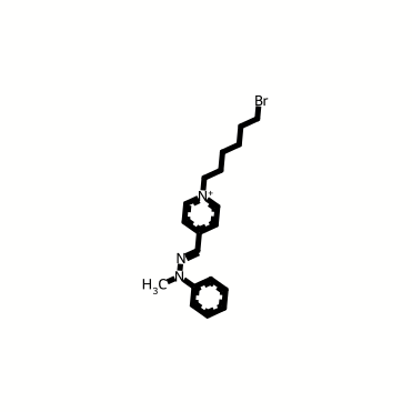 CN(/N=C/c1cc[n+](CCCCCCBr)cc1)c1ccccc1